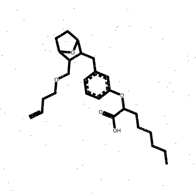 C=CCCOCC1C2CCC(O2)C1Cc1cccc(OC(CCCCCC)C(=O)O)c1